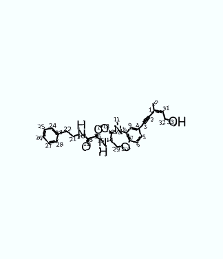 C/C(C#Cc1ccc2c(c1)N(C)C(=O)[C@@H](NC(=O)C(=O)NCCc1ccccc1)CO2)=C/CO